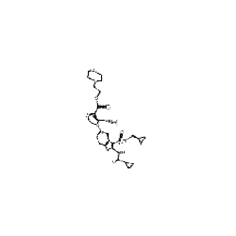 Nc1c(C(=O)OCCN2CCOCC2)ncn1[C@H]1CCc2sc(NC(=O)C3CC3)c(C(=O)NCC3CC3)c2C1